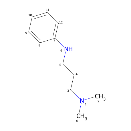 CN(C)CCCNc1[c]cccc1